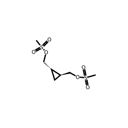 CS(=O)(=O)OC[C@H]1C[C@@H]1COS(C)(=O)=O